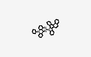 c1ccc(N2c3ccccc3-c3nc(-n4c5ccccc5c5c6ccc7ccccc7c6c6ccccc6c54)nc4cccc2c34)cc1